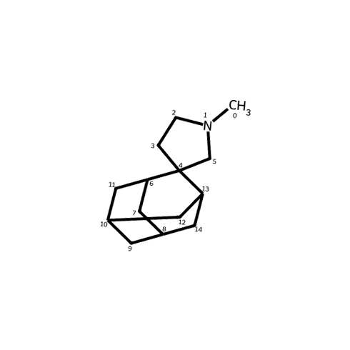 CN1CCC2(C1)C1CC3CC(C1)CC2C3